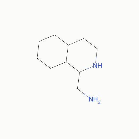 NCC1NCCC2CCCCC21